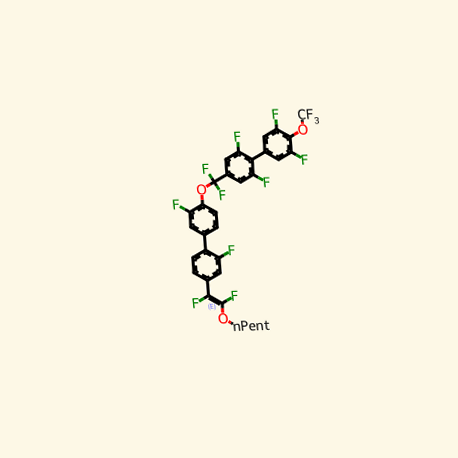 CCCCCO/C(F)=C(\F)c1ccc(-c2ccc(OC(F)(F)c3cc(F)c(-c4cc(F)c(OC(F)(F)F)c(F)c4)c(F)c3)c(F)c2)c(F)c1